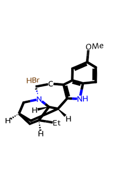 Br.CC[C@H]1C[C@@H]2C[C@H]3c4[nH]c5ccc(OC)cc5c4CC[N@@](C2)[C@@H]13